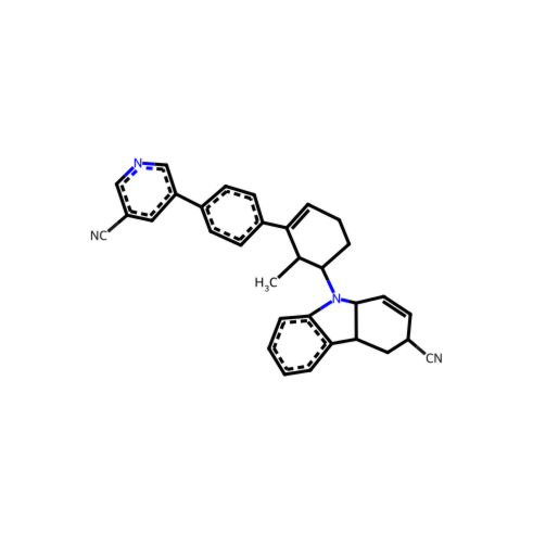 CC1C(c2ccc(-c3cncc(C#N)c3)cc2)=CCCC1N1c2ccccc2C2CC(C#N)C=CC21